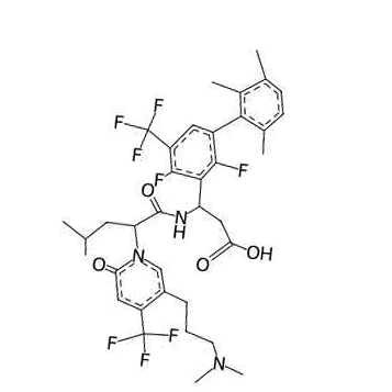 Cc1ccc(C)c(-c2cc(C(F)(F)F)c(F)c(C(CC(=O)O)NC(=O)C(CC(C)C)n3cc(CCCN(C)C)c(C(F)(F)F)cc3=O)c2F)c1C